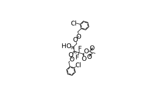 CS(=O)(=O)OC(=O)C(F)(F)[C@H](OOCc1ccccc1Cl)[C@H](O)COOCc1ccccc1Cl